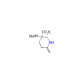 C=C1CCC(NC)(C(=O)O)CN1